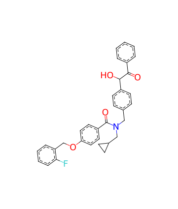 O=C(c1ccccc1)C(O)c1ccc(CN(CC2CC2)C(=O)c2ccc(OCc3ccccc3F)cc2)cc1